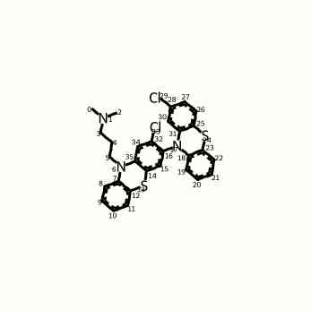 CN(C)CCCN1c2ccccc2Sc2cc(N3c4ccccc4Sc4ccc(Cl)cc43)c(Cl)cc21